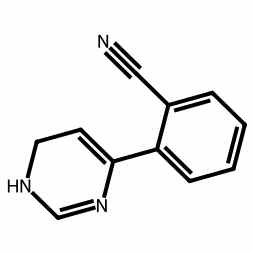 N#Cc1ccccc1C1=CCNC=N1